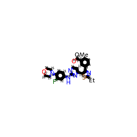 CCc1nc(-c2cccc(C(=O)OC)c2)c(-c2ccnc(Nc3ccc(N4CCOCC4)c(F)c3)n2)s1